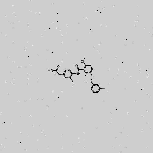 Cc1cccc(COc2ccc(Cl)c(C(=O)Nc3ccc(CC(=O)O)cc3C)c2)c1